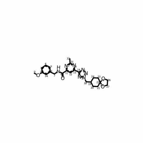 COc1cccc(CNC(=O)c2cc(-c3nnn(CC4CCC5(CC4)OCCO5)n3)nc(C)n2)c1